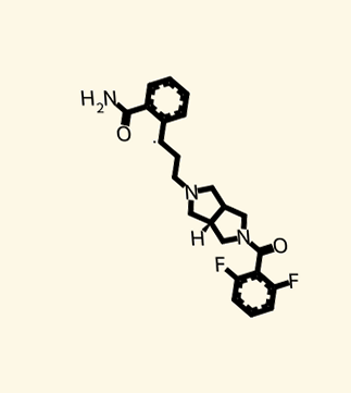 NC(=O)c1ccccc1[CH]CCN1CC2CN(C(=O)c3c(F)cccc3F)C[C@@H]2C1